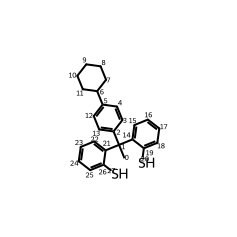 CC(c1ccc(C2CCCCC2)cc1)(c1ccccc1S)c1ccccc1S